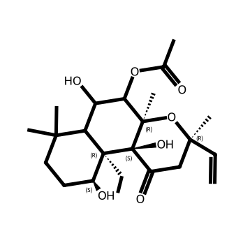 C=C[C@@]1(C)CC(=O)[C@@]2(O)[C@](C)(O1)C(OC(C)=O)C(O)C1C(C)(C)CC[C@H](O)[C@@]12CC